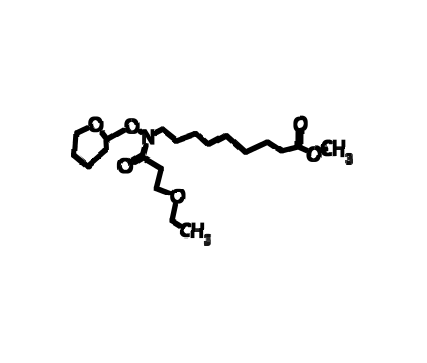 CCOCCC(=O)N(CCCCCCCCC(=O)OC)OC1CCCCO1